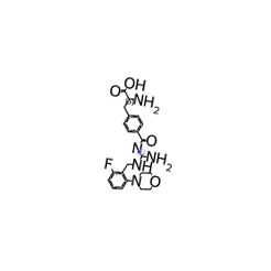 N/C(=N\C(=O)c1ccc(C[C@H](N)C(=O)O)cc1)NCc1c(F)cccc1N1CCOCC1